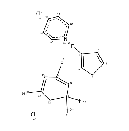 FC1=CCC=C1.FC1=C[C](F)([Ti+2])CC(F)=C1.[Cl-].[Cl-].c1ccncc1